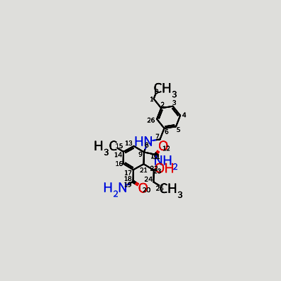 CCc1cccc(CNC2(C(N)=O)C=C(C)C=C(C(N)=O)C2C(O)CC)c1